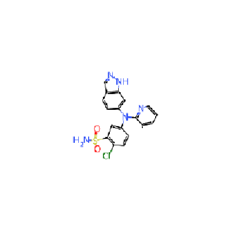 NS(=O)(=O)c1cc(N(c2ccc3cn[nH]c3c2)c2[c]cccn2)ccc1Cl